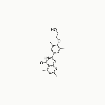 Cc1cc(C)c2c(=O)[nH]c(-c3cc(C)c(OCCO)c(C)c3)nc2n1